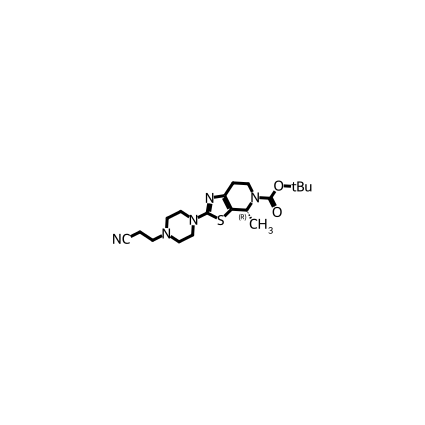 C[C@@H]1c2sc(N3CCN(CCC#N)CC3)nc2CCN1C(=O)OC(C)(C)C